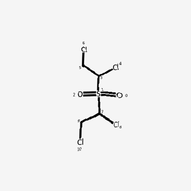 O=S(=O)(C(Cl)CCl)C(Cl)CCl